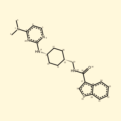 CN(C)c1ccnc(N[C@H]2CC[C@@H](CNC(=O)c3csc4ccccc34)CC2)n1